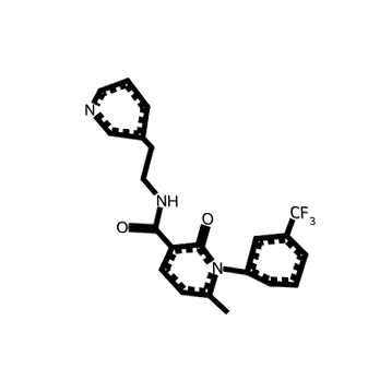 Cc1ccc(C(=O)NCCc2cccnc2)c(=O)n1-c1cccc(C(F)(F)F)c1